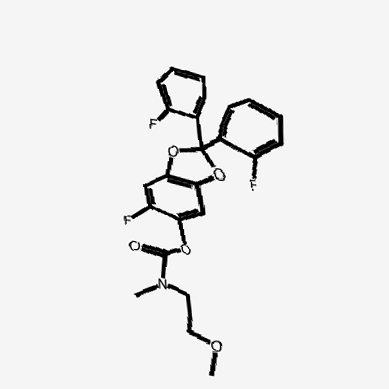 COCCN(C)C(=O)Oc1cc2c(cc1F)OC(c1ccccc1F)(c1ccccc1F)O2